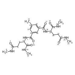 CNC(=O)CCC(NC(=O)c1cc(C)cc(C(=O)NC(CCC(=O)NC)C(=O)NC)c1)C(=O)NC